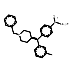 CCOC(=O)N(C)c1ccc(C(=C2CCN(Cc3ccccc3)CC2)c2cccc(F)c2)cc1